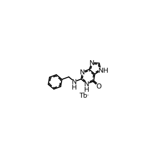 O=c1[nH]c(NCc2ccccc2)nc2nc[nH]c12.[Tb]